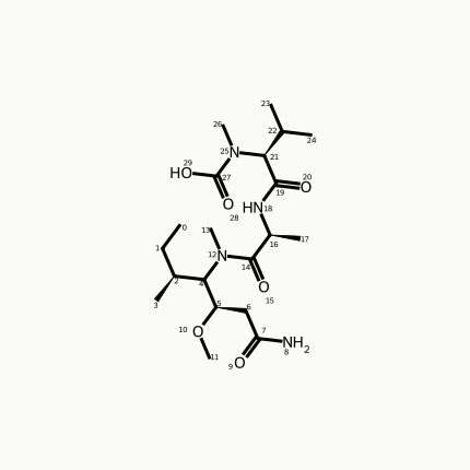 CC[C@H](C)C([C@@H](CC(N)=O)OC)N(C)C(=O)[C@H](C)NC(=O)[C@H](C(C)C)N(C)C(=O)O